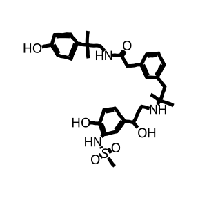 CC(C)(Cc1cccc(CC(=O)NCC(C)(C)c2ccc(O)cc2)c1)NCC(O)c1ccc(O)c(NS(C)(=O)=O)c1